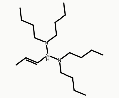 CC=C[SiH](N(CCCC)CCCC)N(CCCC)CCCC